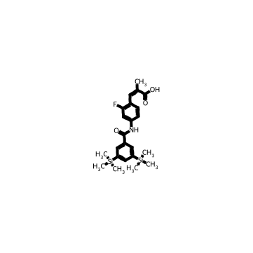 CC(=Cc1ccc(NC(=O)c2cc([Si](C)(C)C)cc([Si](C)(C)C)c2)cc1F)C(=O)O